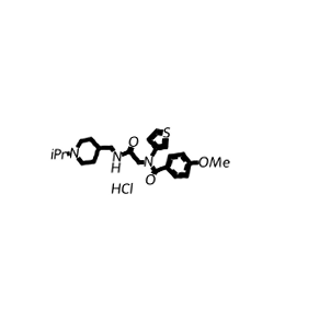 COc1ccc(C(=O)N(CC(=O)NCC2CCN(C(C)C)CC2)c2ccsc2)cc1.Cl